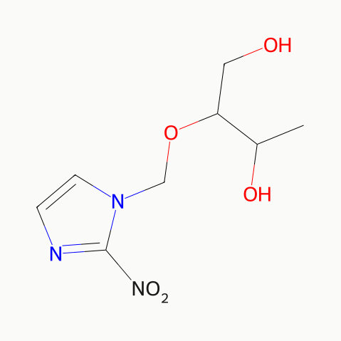 CC(O)C(CO)OCn1ccnc1[N+](=O)[O-]